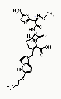 CO/N=C(\C(=O)N[C@@H]1C(=O)N2C(C(=O)O)=C(CN3C=CN4NC(SCCN)=CC=C34)CS[C@@H]12)c1nsc(N)n1